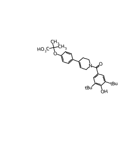 CC(C)(Oc1ccc(C2=CCN(C(=O)c3cc(C(C)(C)C)c(O)c(C(C)(C)C)c3)CC2)cc1)C(=O)O